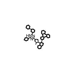 CC1C=C(C2=NC(c3cccc(-c4ccccc4)c3)NC(c3ccccc3)=N2)C=CC1c1c(-c2ccc3c4ccccc4c4ccccc4c3c2)ccc2ccccc12